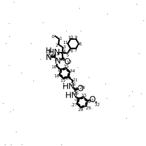 CCCCC1(CC2CCCCC2)NC(=N)N(Cc2ccc(CNC(=O)Nc3cccc(OC)c3)cc2)C1=O